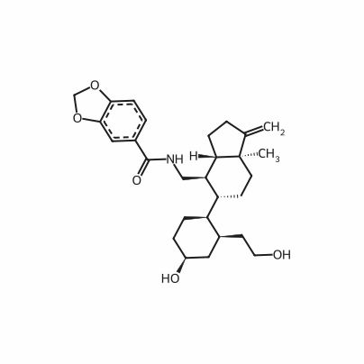 C=C1CC[C@H]2[C@H](CNC(=O)c3ccc4c(c3)OCO4)[C@@H]([C@@H]3CC[C@H](O)C[C@@H]3CCO)CC[C@]12C